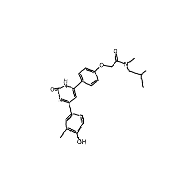 Cc1cc(-c2cc(-c3ccc(OCC(=O)N(C)CC(C)C)cc3)[nH]c(=O)n2)ccc1O